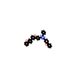 C1=C(c2nc(-c3ccccc3)nc(-c3ccc4c(c3)oc3ccc(-c5ccc6c(c5)oc5ccccc56)cc34)n2)CCc2c1oc1ccccc21